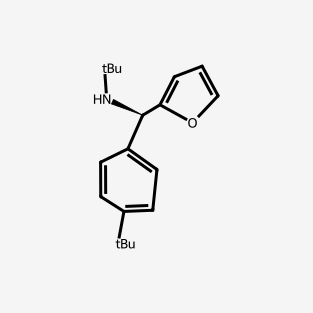 CC(C)(C)N[C@H](c1ccc(C(C)(C)C)cc1)c1ccco1